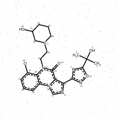 CC(C)(O)c1nc(-c2ncn3c2c(=O)n(CCN2CCCC(O)C2)c2c(Cl)cccc23)no1